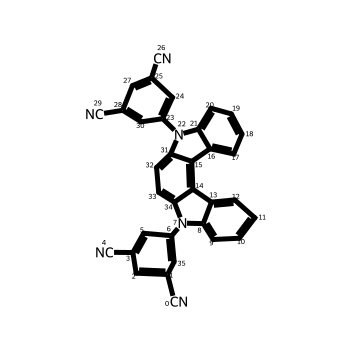 N#Cc1cc(C#N)cc(-n2c3ccccc3c3c4c5ccccc5n(-c5cc(C#N)cc(C#N)c5)c4ccc32)c1